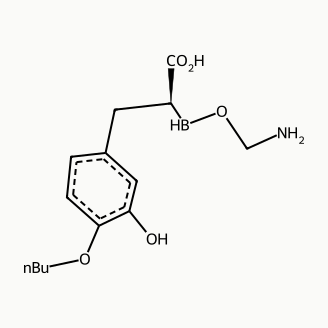 CCCCOc1ccc(C[C@H](BOCN)C(=O)O)cc1O